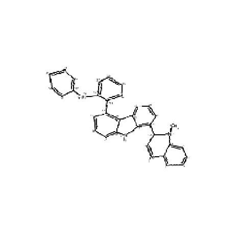 CN1c2ccccc2N=CC1c1cccc2c1[nH]c1cccc(-c3ccccc3Nc3ccccc3)c12